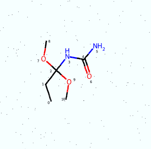 CCC(NC(N)=O)(OC)OC